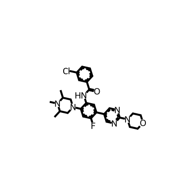 CC1CN(c2cc(F)c(-c3cnc(N4CCOCC4)nc3)cc2NC(=O)c2cccc(Cl)c2)CC(C)N1C